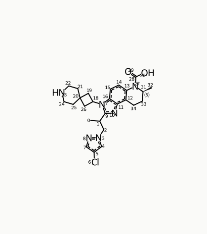 CC(Cn1cc(Cl)cn1)c1nc2c3c(ccc2n1C1CC2(CCNCC2)C1)N(C(=O)O)[C@@H](C)CC3